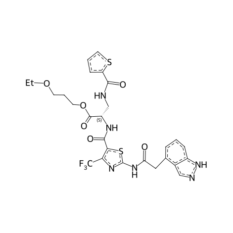 CCOCCCOC(=O)[C@H](CNC(=O)c1cccs1)NC(=O)c1sc(NC(=O)Cc2cccc3[nH]ncc23)nc1C(F)(F)F